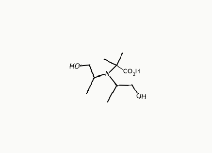 CC(CO)N(C(C)CO)C(C)(C)C(=O)O